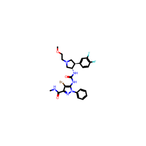 CNC(=O)c1nn(-c2ccccc2)c(NC(=O)N[C@@H]2CN(CCOC)C[C@H]2c2ccc(F)c(F)c2)c1Br